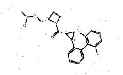 C[S+]([O-])NC[C@@H]1CCN1C(=O)[C@@H]1C[C@H]1c1ccccc1-c1c(F)cccc1F